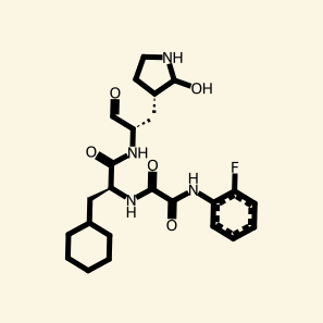 O=C[C@H](C[C@@H]1CCNC1O)NC(=O)[C@H](CC1CCCCC1)NC(=O)C(=O)Nc1ccccc1F